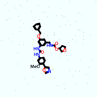 COc1cc(NC(=O)Nc2cc(CNC(=O)O[C@H]3CCOC3)cc(OCc3ccccc3)c2)ccc1-c1cnco1